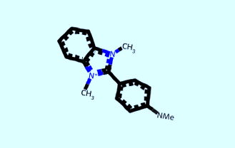 CNc1ccc(-c2n(C)c3ccccc3[n+]2C)cc1